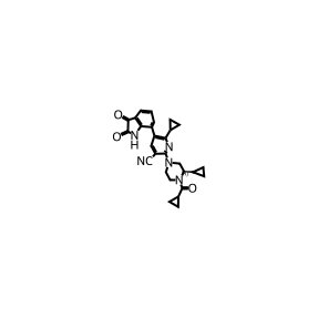 N#Cc1cc(-c2cccc3c2NC(=O)C3=O)c(C2CC2)nc1N1CCN(C(=O)C2CC2)[C@H](C2CC2)C1